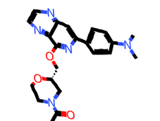 CC(=O)N1CCO[C@H](COc2nc(-c3ccc(N(C)C)cc3)cc3nccnc23)C1